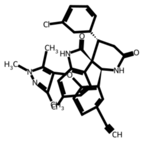 C#Cc1ccc(Oc2c(C)nn(C)c2C)c([C@@H]2NC(=O)C[C@@H](C3C=CC=C(Cl)C3)[C@]23C(=O)Nc2cc(Cl)ccc23)c1